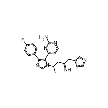 CC(CC(=N)Cc1cncs1)n1cnc(-c2ccc(F)cc2)c1-c1ccnc(N)n1